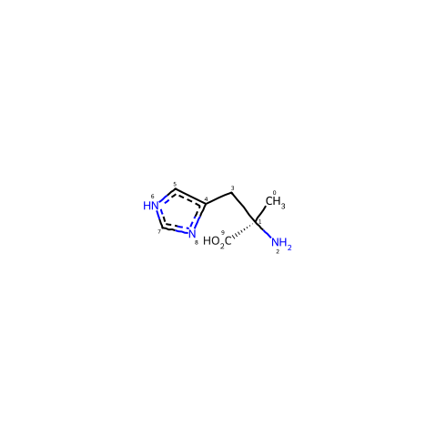 C[C@@](N)(Cc1c[nH]cn1)C(=O)O